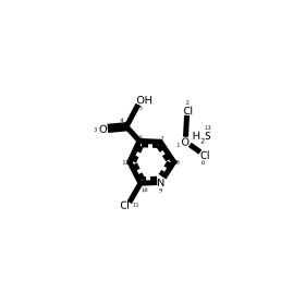 ClOCl.O=C(O)c1ccnc(Cl)c1.S